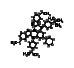 CCc1ccc2sc3c(c2c1)N(c1ccc(C(C)C)cc1)c1cc(C2CCCCC2)cc2c1B3c1sc3ccc(CC)cc3c1N2c1ccc(C(C)(C)C)cc1